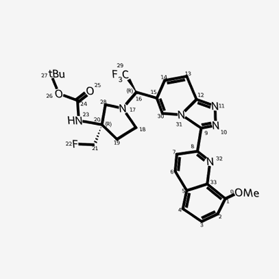 COc1cccc2ccc(-c3nnc4ccc([C@@H](N5CC[C@@](CF)(NC(=O)OC(C)(C)C)C5)C(F)(F)F)cn34)nc12